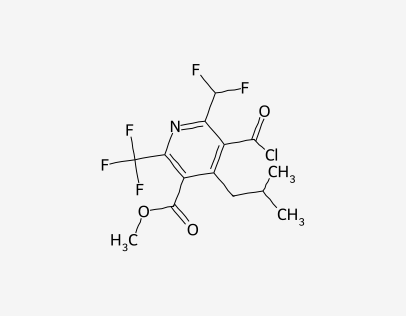 COC(=O)c1c(C(F)(F)F)nc(C(F)F)c(C(=O)Cl)c1CC(C)C